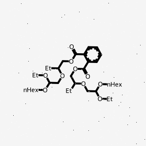 CCCCCCOC(COC(CC)COC(=O)c1ccccc1C(=O)OCC(CC)OCC(OCC)OCCCCCC)OCC